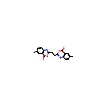 Cc1ccc2nc(CCc3nc4ccc(C)cc4c(=O)o3)oc(=O)c2c1